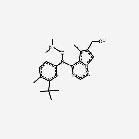 Cc1ccc(N(O[SiH](C)C)c2ncnn3cc(CO)c(C)c23)cc1C(C)(C)C